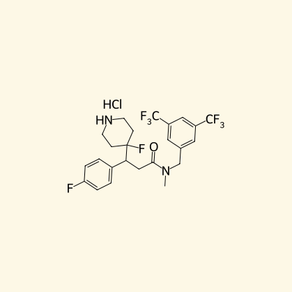 CN(Cc1cc(C(F)(F)F)cc(C(F)(F)F)c1)C(=O)CC(c1ccc(F)cc1)C1(F)CCNCC1.Cl